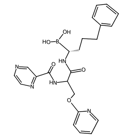 O=C(NC(COc1ccccn1)C(=O)N[C@@H](CCCc1ccccc1)B(O)O)c1cnccn1